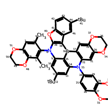 Cc1cc2c(c(C)c1N1c3cc(C(C)(C)C)cc4c3B(c3cc5c(cc3N4c3ccc4c(c3)OCCO4)OCCO5)c3c1oc1ccc(C(C)(C)C)cc31)OCCO2